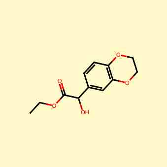 CCOC(=O)C(O)c1ccc2c(c1)OCCO2